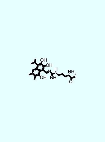 CC(=O)[C@@H](N)CCCNC(=N)/N=C/c1c(O)c(O)c(C(C)C)c2cc(C)c(C)c(O)c12